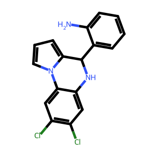 Nc1ccccc1C1Nc2cc(Cl)c(Cl)cc2-n2cccc21